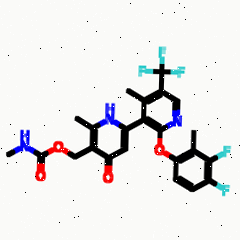 CNC(=O)OCc1c(C)[nH]c(-c2c(Oc3ccc(F)c(F)c3C)ncc(C(F)(F)F)c2C)cc1=O